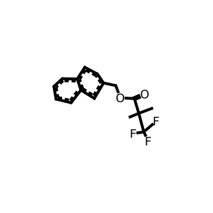 CC(C)(C(=O)OCc1ccc2ccccc2c1)C(F)(F)F